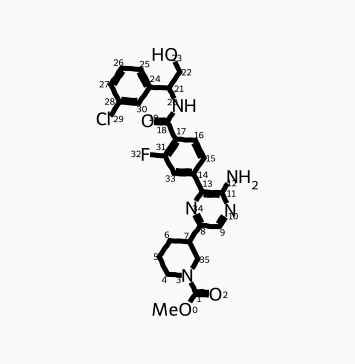 COC(=O)N1CCCC(c2cnc(N)c(-c3ccc(C(=O)NC(CO)c4cccc(Cl)c4)c(F)c3)n2)C1